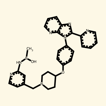 CB(O)Nc1cc(CN2CCC(Oc3ccc(-n4c(-c5ccccn5)nc5cccnc54)cc3)CC2)ccn1